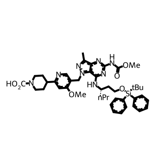 CCC[C@@H](CCO[Si](c1ccccc1)(c1ccccc1)C(C)(C)C)Nc1nc(NC(=O)OC)nc2c(C)nn(Cc3cnc(C4CCN(C(=O)O)CC4)cc3OC)c12